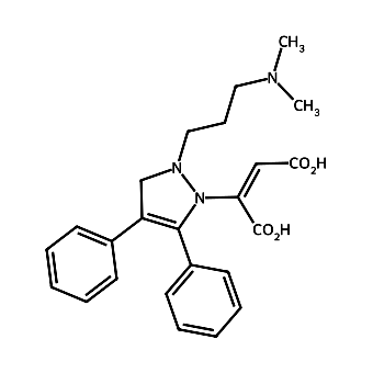 CN(C)CCCN1CC(c2ccccc2)=C(c2ccccc2)N1/C(=C/C(=O)O)C(=O)O